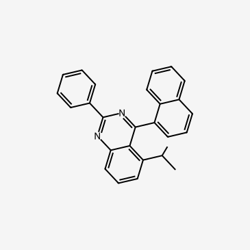 CC(C)c1cccc2nc(-c3ccccc3)nc(-c3cccc4ccccc34)c12